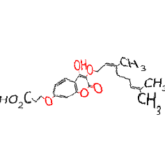 CC(C)=CCCC(C)=CCOc1c(O)c2ccc(OCCC(=O)O)cc2oc1=O